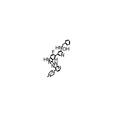 CN1CCN(c2ccnc3[nH]c(-c4n[nH]c5cc(F)c(-c6cncc(NC(O)Cc7ccccc7)c6)cc45)nc23)CC1